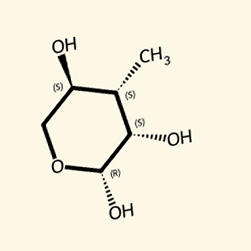 C[C@@H]1[C@H](O)[C@H](O)OC[C@H]1O